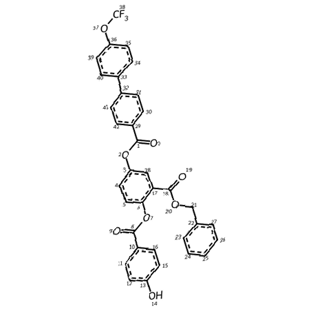 O=C(Oc1ccc(OC(=O)c2ccc(O)cc2)c(C(=O)OCc2ccccc2)c1)c1ccc(-c2ccc(OC(F)(F)F)cc2)cc1